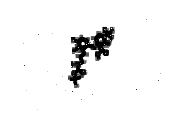 COC(=O)c1c(Nc2ccc(F)c(F)c2CCCNC(=O)OC(C)(C)C)ccc(C(F)(F)F)c1F